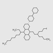 CCCCCCCC(CC)C1C2CCCCC2C(CCC(CCCC)CCCI)C2C[C@@H](C3CCC(C4CCCCC4)CC3)CCC21